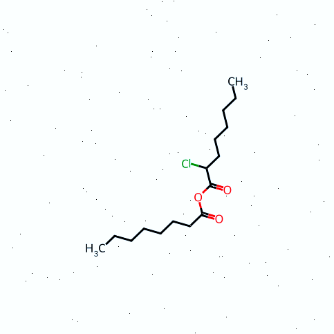 CCCCCCCC(=O)OC(=O)C(Cl)CCCCCC